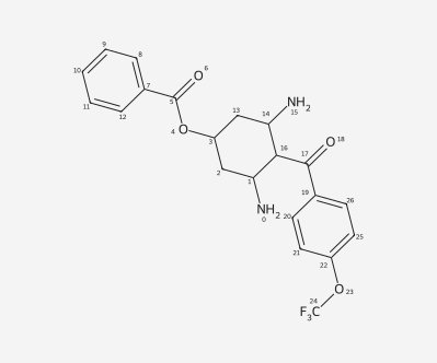 NC1CC(OC(=O)c2ccccc2)CC(N)C1C(=O)c1ccc(OC(F)(F)F)cc1